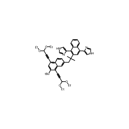 CCOC(C#Cc1cc(C(C)(C)C)c(C#CC(OCC)OCC)c2cc(CC(C)(C)c3cc(-c4c[nH]cn4)c4ccccc4c3-c3c[nH]cn3)ccc12)OCC